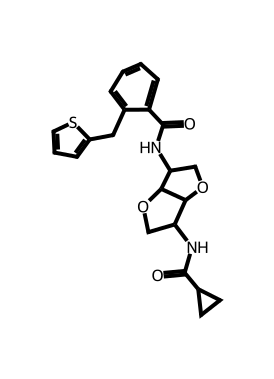 O=C(NC1COC2C(NC(=O)C3CC3)COC12)c1ccccc1Cc1cccs1